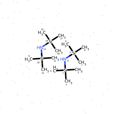 C[Si](C)(C)N[Si](C)(C)C.C[Si](C)(C)N[Si](C)(C)C